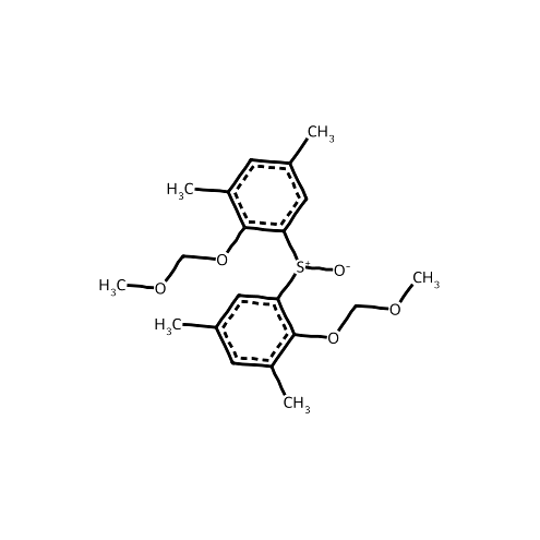 COCOc1c(C)cc(C)cc1[S+]([O-])c1cc(C)cc(C)c1OCOC